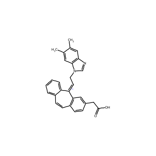 Cc1cc2ncn(C/C=C3\c4ccccc4C=Cc4ccc(CC(=O)O)cc43)c2cc1C